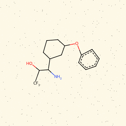 NC(C1CCCC(Oc2ccccc2)C1)C(O)C(F)(F)F